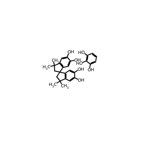 CC1(C)CC2(CC(C)(C)c3cc(O)c(O)cc32)c2cc(O)c(O)cc21.Oc1cccc(O)c1O